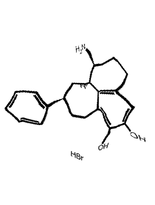 Br.N[C@H]1CCc2cc(O)c(O)c3c2[C@H]1C[C@H](c1ccccc1)C3